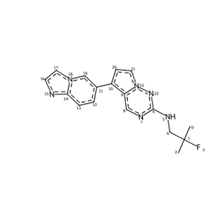 CC(C)(F)CNc1ncc2c(-c3ccc4nccn4c3)ccn2n1